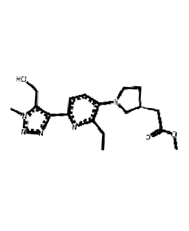 CCc1nc(-c2nnn(C)c2CO)ccc1N1CC[C@@H](CC(=O)OC)C1